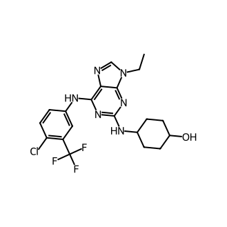 CCn1cnc2c(Nc3ccc(Cl)c(C(F)(F)F)c3)nc(NC3CCC(O)CC3)nc21